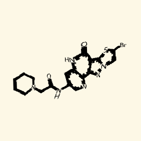 O=C(CN1CCCCC1)Nc1cnc2c(c1)[nH]c(=O)c1c2nn2cc(Br)sc12